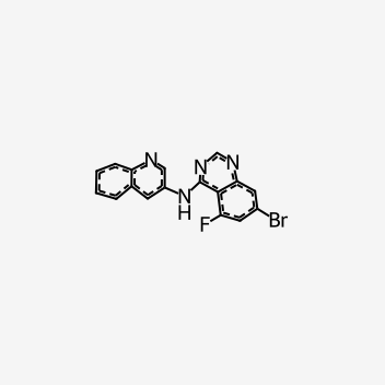 Fc1cc(Br)cc2ncnc(Nc3cnc4ccccc4c3)c12